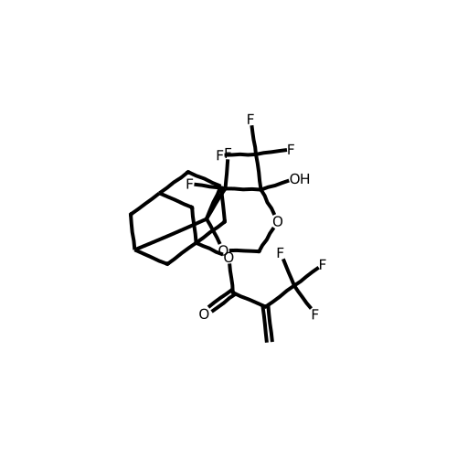 C=C(C(=O)OC12CC3CC(C1)C1(OCOC(O)(C(F)(F)F)C1(F)F)C(C3)C2)C(F)(F)F